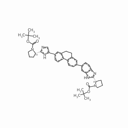 CC(C)(C)OC(=O)N1CCC[C@H]1c1ncc(-c2ccc3c(c2)CCc2cc(-c4ccc5nc([C@@H]6CCCN6C(=O)OC(C)(C)C)[nH]c5c4)ccc2-3)[nH]1